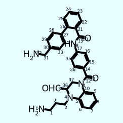 NCCCN1c2ccccc2N(C(=O)c2ccc(NC(=O)c3ccccc3-c3ccc(CN)cc3)cc2)CC1C=O